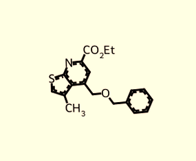 CCOC(=O)c1cc(COCc2ccccc2)c2c(C)csc2n1